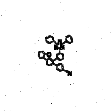 N#Cc1ccc(-c2ccc3c(oc4ccccc43)c2-c2cccc(-c3nc(-c4ccccc4)nc(-c4ccccc4)n3)c2)cc1